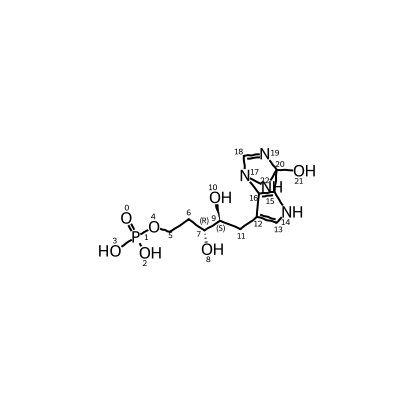 O=P(O)(O)OCC[C@@H](O)[C@@H](O)Cc1c[nH]c2c1N1C=NC2(O)N1